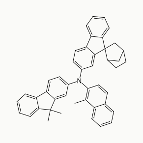 Cc1c(N(c2ccc3c(c2)C(C)(C)c2ccccc2-3)c2ccc3c(c2)C2(CC4CCC2C4)c2ccccc2-3)ccc2ccccc12